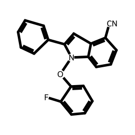 N#Cc1cccc2c1cc(-c1ccccc1)n2Oc1ccccc1F